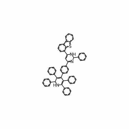 C1=C(c2cccc3c2sc2ccccc23)NC(c2ccccc2)N=C1c1ccc(C2=C(c3ccccc3)C(c3ccccc3)NC(c3ccccc3)=C2c2ccccc2)cc1